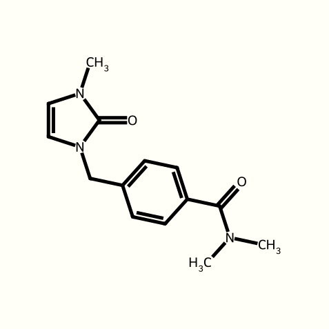 CN(C)C(=O)c1ccc(Cn2ccn(C)c2=O)cc1